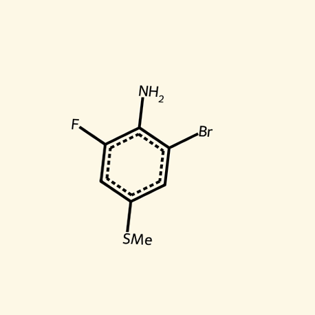 CSc1cc(F)c(N)c(Br)c1